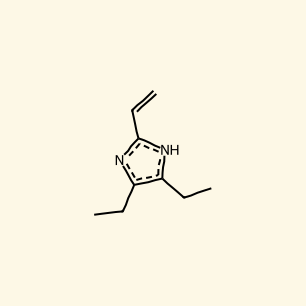 C=Cc1nc(CC)c(CC)[nH]1